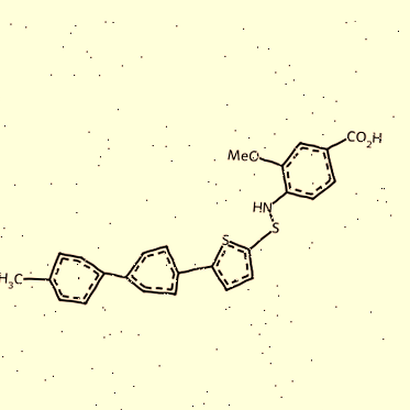 COc1cc(C(=O)O)ccc1NSc1ccc(-c2ccc(-c3ccc(C)cc3)cc2)s1